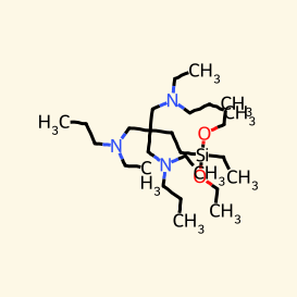 CCCN(CC)CC(CC[Si](CC)(OCC)OCC)(CN(CC)CCC)CN(CC)CCC